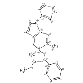 CCO[C@H](C[C@@]1(C)Cc2cnn(-c3ccccc3)c2C=C1C)c1ccccc1